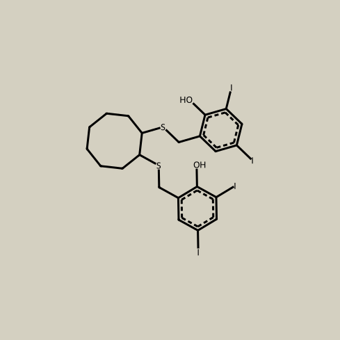 Oc1c(I)cc(I)cc1CSC1CCCCCCC1SCc1cc(I)cc(I)c1O